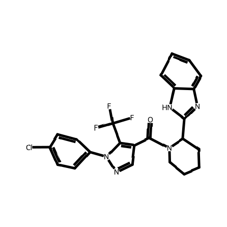 O=C(c1cnn(-c2ccc(Cl)cc2)c1C(F)(F)F)N1CCCCC1c1nc2ccccc2[nH]1